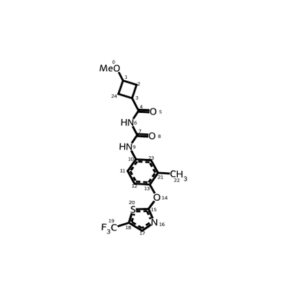 COC1CC(C(=O)NC(=O)Nc2ccc(Oc3ncc(C(F)(F)F)s3)c(C)c2)C1